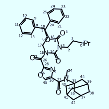 CC(C)CCN(C(=O)OCc1ccccc1)C(=O)N(CCCc1ccccc1)C(=O)c1nc(C(=O)N(C)C23CC4CC(CC(C4)C2)C3)co1